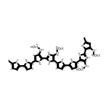 CCCCCCCCOc1cc(C)sc1-c1nc(OCCCCCCCC)c(-c2ccc(-c3ccc(-c4sc(-c5sc(-c6ccc(-c7ccc(C)s7)s6)cc5OCCCCCCCC)nc4OCCCCCCCC)s3)s2)s1